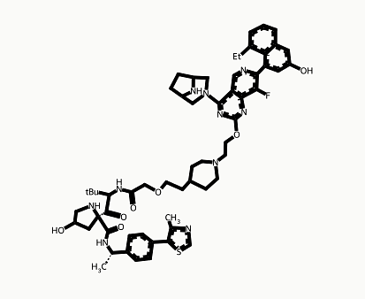 CCc1cccc2cc(O)cc(-c3ncc4c(N5CC6CCC(C5)N6)nc(OCCN5CCC(CCOCC(=O)NC(C(=O)[C@]6(C(=O)N[C@@H](C)c7ccc(-c8scnc8C)cc7)CC(O)CN6)C(C)(C)C)CC5)nc4c3F)c12